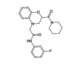 O=C(CN1CC(C(=O)N2CCCCC2)Oc2ccccc21)Nc1cccc(F)c1